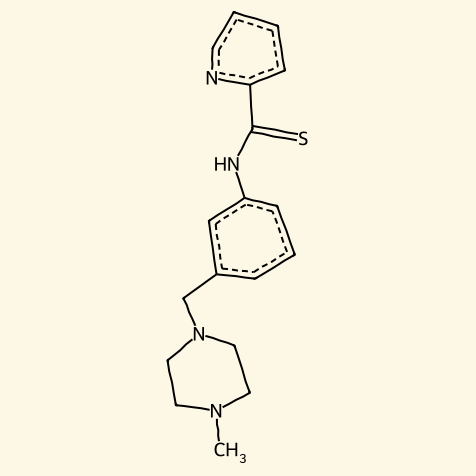 CN1CCN(Cc2cccc(NC(=S)c3ccccn3)c2)CC1